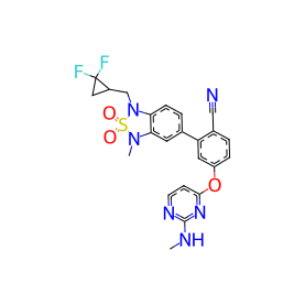 CNc1nccc(Oc2ccc(C#N)c(-c3ccc4c(c3)N(C)S(=O)(=O)N4CC3CC3(F)F)c2)n1